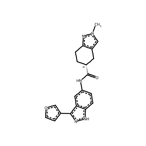 Cn1cc2c(n1)CC[C@@H](C(=O)Nc1ccc3[nH]nc(-c4ccoc4)c3c1)C2